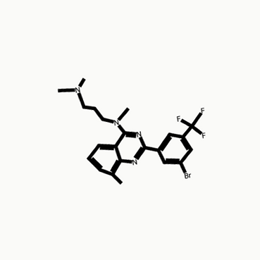 Cc1cccc2c(N(C)CCCN(C)C)nc(-c3cc(Br)cc(C(F)(F)F)c3)nc12